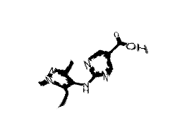 Cc1nn(C)c(C)c1Nc1ncc(C(=O)O)cn1